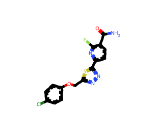 NC(=O)c1ccc(-c2nnc(COc3ccc(Cl)cc3)s2)nc1F